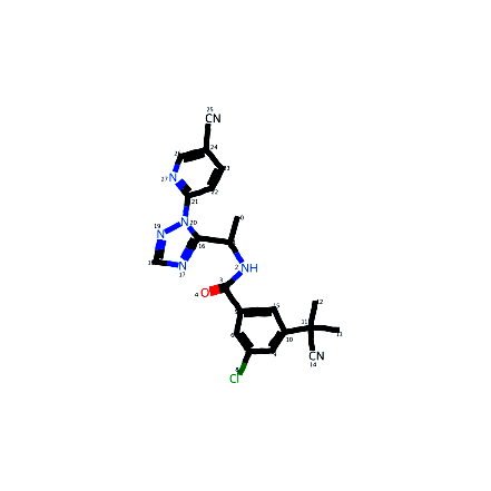 CC(NC(=O)c1cc(Cl)cc(C(C)(C)C#N)c1)c1ncnn1-c1ccc(C#N)cn1